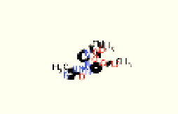 C=CC(=O)N1CCCCC(n2c(NC(=O)c3ccnc(C)c3)nc3ccc(OCCOC)c(OCCOC)c32)C1